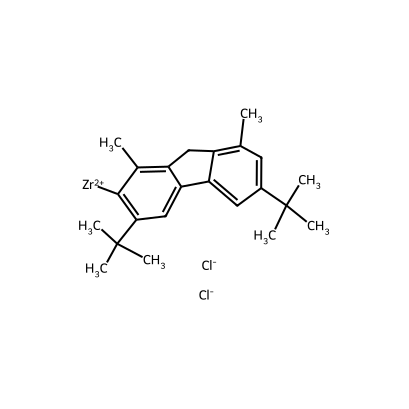 Cc1cc(C(C)(C)C)cc2c1Cc1c-2cc(C(C)(C)C)[c]([Zr+2])c1C.[Cl-].[Cl-]